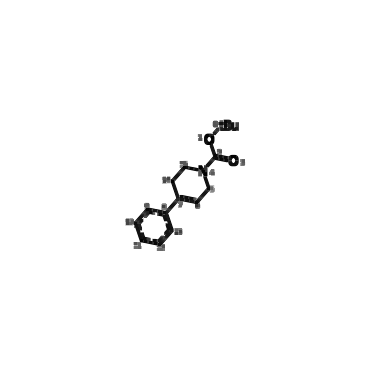 CC(C)(C)OC(=O)N1CC=C(c2c[c]ccc2)CC1